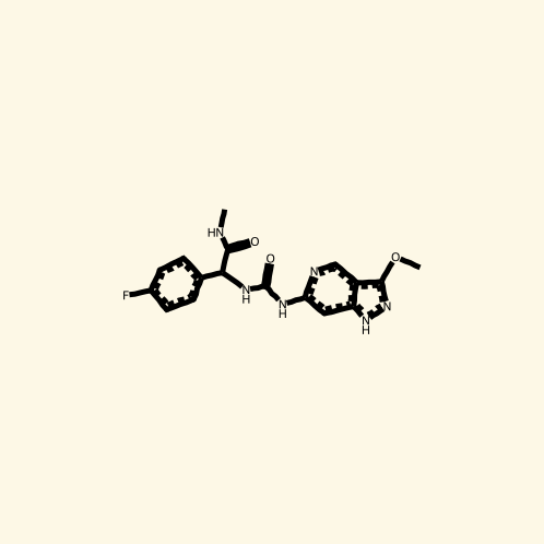 CNC(=O)C(NC(=O)Nc1cc2[nH]nc(OC)c2cn1)c1ccc(F)cc1